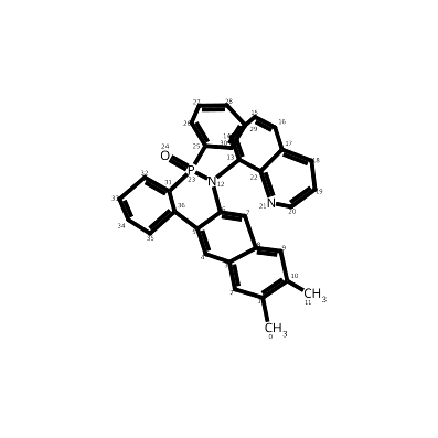 Cc1cc2cc3c(cc2cc1C)N(c1cccc2cccnc12)P(=O)(c1ccccc1)c1ccccc1-3